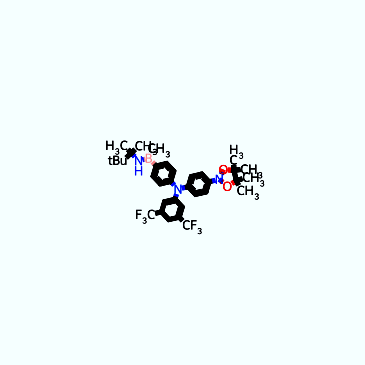 CB(NC(C)(C)C(C)(C)C)c1ccc(N(C2=CC(C(F)(F)F)CC(C(F)(F)F)=C2)c2ccc(N3OC(C)(C)C(C)(C)O3)cc2)cc1